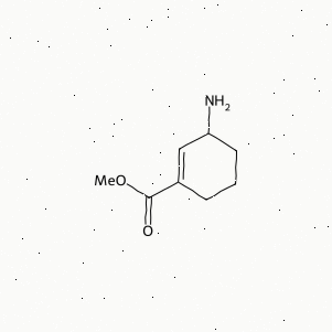 COC(=O)C1=CC(N)CCC1